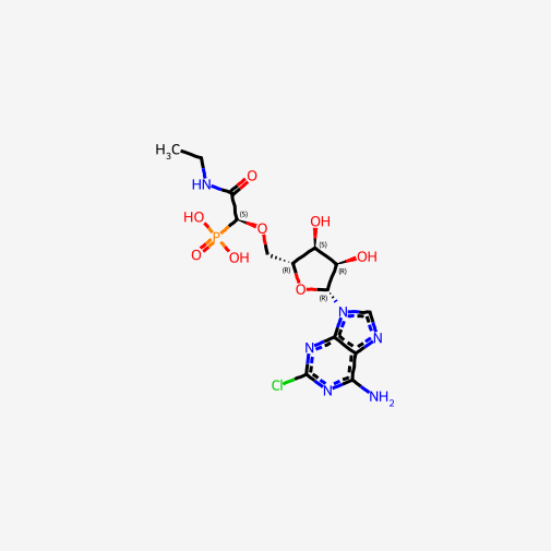 CCNC(=O)[C@@H](OC[C@H]1O[C@@H](n2cnc3c(N)nc(Cl)nc32)[C@H](O)[C@@H]1O)P(=O)(O)O